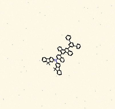 CC1(C)c2ccccc2-c2ccc(N(c3ccc4c(c3)C(C)(C)c3ccccc3-4)c3ccc(-c4cc5c6ccccc6c(-c6cc(-c7ccccc7)cc(-c7ccccc7)c6)cc5c5ccccc45)c4ccccc34)cc21